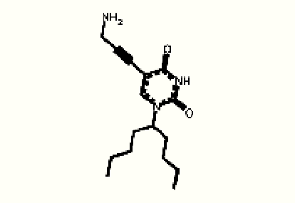 CCCCC(CCCC)n1cc(C#CCN)c(=O)[nH]c1=O